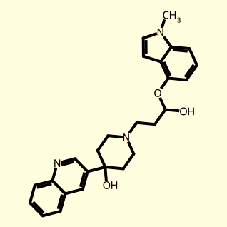 Cn1ccc2c(OC(O)CCN3CCC(O)(c4cnc5ccccc5c4)CC3)cccc21